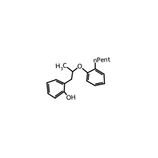 CCCCCc1ccccc1OC(C)Cc1ccccc1O